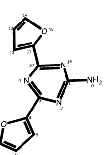 Nc1nc(-c2ccco2)nc(-c2ccco2)n1